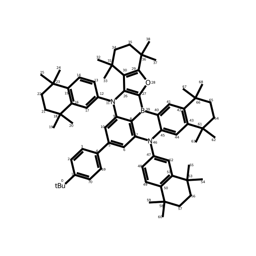 CC(C)(C)c1ccc(-c2cc3c4c(c2)N(c2ccc5c(c2)C(C)(C)CCC5(C)C)c2c(oc5c2C(C)(C)CCC5(C)C)B4c2cc4c(cc2N3c2ccc3c(c2)C(C)(C)CCC3(C)C)C(C)(C)CCC4(C)C)cc1